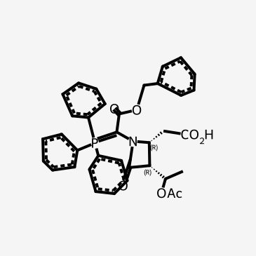 CC(=O)OC(C)[C@@H]1C(=O)N(C(C(=O)OCc2ccccc2)=P(c2ccccc2)(c2ccccc2)c2ccccc2)[C@@H]1CC(=O)O